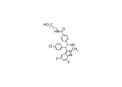 CCCC(c1ccc(C(=O)NCCC(=O)O)cc1)C(c1ccc(Cl)cc1)c1c2cc(F)cc(F)c2nn1C